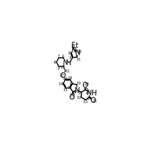 CCn1cc(CN2CCCC[C@@H]2COc2ccc3c(c2)CN(C2CCC(=O)NC2=O)C3=O)cn1